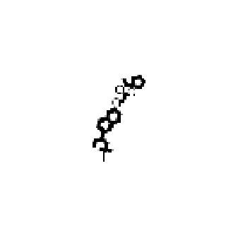 C/C=C(\CC(C)(C)I)c1ccc2cc(OCC(=O)OC3(CC)CCCC3)ccc2c1